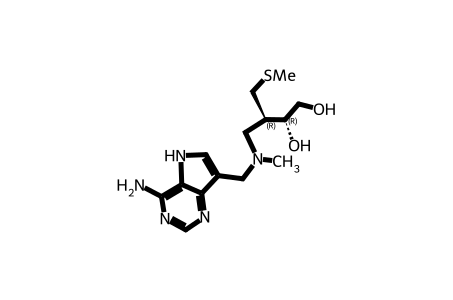 CSC[C@H](CN(C)Cc1c[nH]c2c(N)ncnc12)[C@@H](O)CO